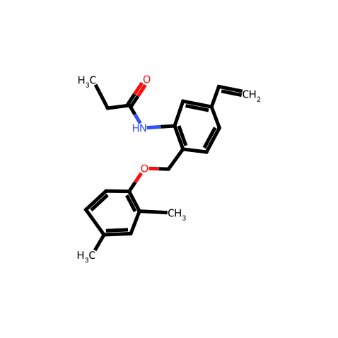 C=Cc1ccc(COc2ccc(C)cc2C)c(NC(=O)CC)c1